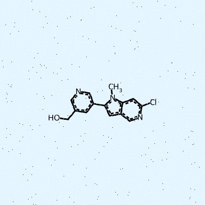 Cn1c(-c2cncc(CO)c2)cc2cnc(Cl)cc21